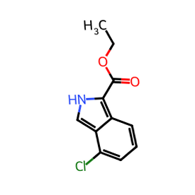 CCOC(=O)c1[nH]cc2c(Cl)cccc12